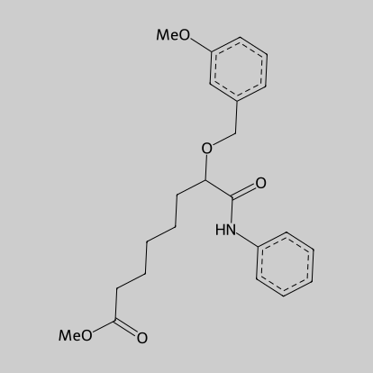 COC(=O)CCCCCC(OCc1cccc(OC)c1)C(=O)Nc1ccccc1